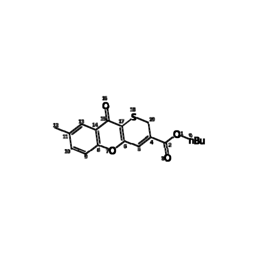 CCCCOC(=O)C1=Cc2oc3ccc(C)cc3c(=O)c2SC1